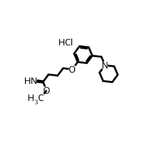 COC(=N)CCCOc1cccc(CN2CCCCC2)c1.Cl